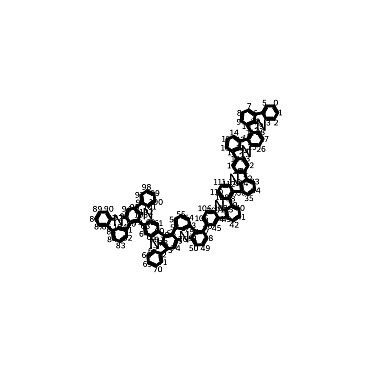 c1ccc2c(c1)c1cccc3c4c5c6cccc7c8cc9c(cc8n(c5ccc4n2c13)c76)c1cccc2c3c4c5cccc6c7cc(-c8cccc%10c8c8cccc%11c%12c%13c%14cc%15c(cc%14n%14c%16ccccc%16c(cc%12n%10c8%11)c%13%14)c8c%10c%11cccc%12c%13ccccc%13n(c%10cc%10c%13ccccc%13n%15c%108)c%12%11)ccc7n(c4ccc3n9c12)c65